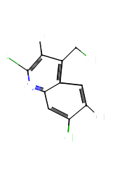 CCOC(=O)c1c(Cl)nc2cc(Cl)c(C)cc2c1CCl